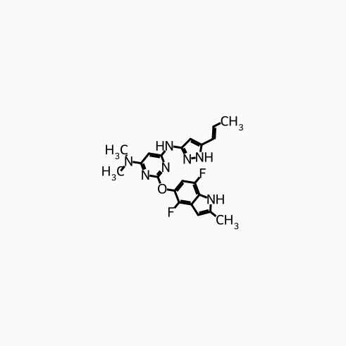 C/C=C/c1cc(Nc2cc(N(C)C)nc(Oc3cc(F)c4[nH]c(C)cc4c3F)n2)n[nH]1